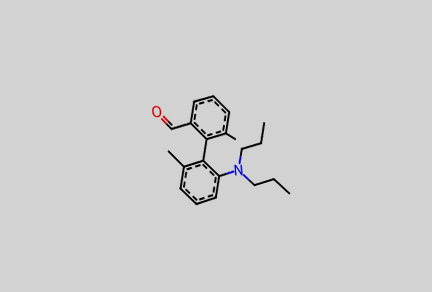 CCCN(CCC)c1cccc(C)c1-c1c(C)cccc1C=O